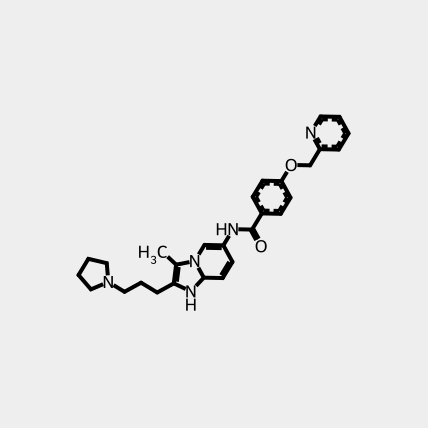 CC1=C(CCCN2CCCC2)NC2C=CC(NC(=O)c3ccc(OCc4ccccn4)cc3)=CN12